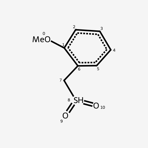 COc1ccccc1C[SH](=O)=O